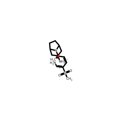 C=C(/C=C\C(=C/N)S(C)(=O)=O)N1C2CCC1CC(N)C2